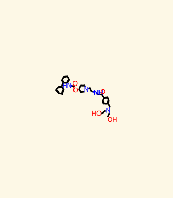 O=C(Nc1ccccc1-c1ccccc1)OC1CCN(CCNCC(=O)c2ccc(CN(CCO)CCO)cc2)CC1